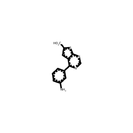 Nc1cccc(-c2ncnc3sc(C(=O)O)cc23)c1